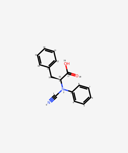 N#CN(c1ccccc1)[C@@H](Cc1ccccc1)C(=O)O